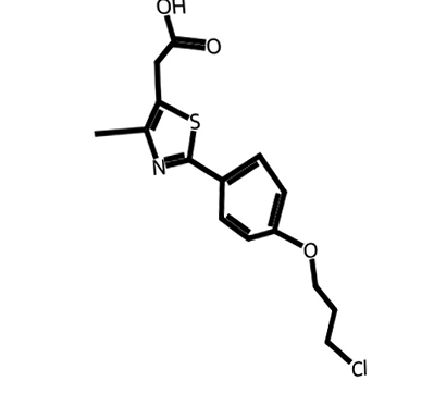 Cc1nc(-c2ccc(OCCCCl)cc2)sc1CC(=O)O